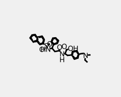 CCN(C)Cc1ccc(CC(NC(=O)CC(NS(=O)(=O)c2ccc3ccccc3c2)c2ccccc2)C(=O)O)cc1